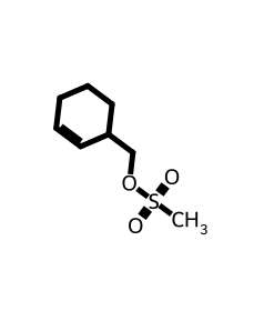 CS(=O)(=O)OCC1C=CCCC1